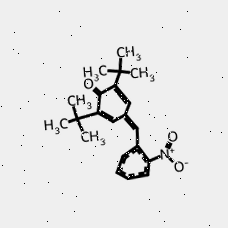 CC(C)(C)C1=CC(=Cc2ccccc2[N+](=O)[O-])C=C(C(C)(C)C)C1=O